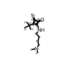 CN(C)CCCCNc1c(C(C)(C)C)c(=S)c1=O